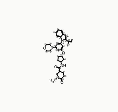 CN1CC(C(=O)N[C@H]2CC[C@H](Oc3cc(-n4c(C(F)F)nc5ccccc54)nc(N4CCOCC4)n3)C2)CCC1=O